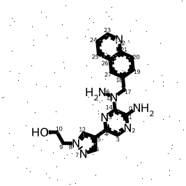 Nc1ncc(-c2cnn(CCO)c2)nc1N(N)Cc1ccc2ncccc2c1